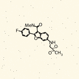 CNC(=O)c1c(-c2ccc(F)cc2)oc2cc(NCS(C)(=O)=O)ccc12